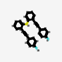 Fc1ccc(C#Cc2ccccc2Sc2ccccc2C#Cc2ccc(F)cc2)cc1